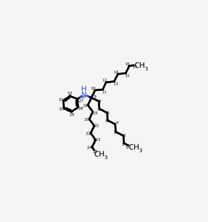 CCCCCCCCCC(CCCCCCCC)(CCCCCCCC)Nc1ccccc1